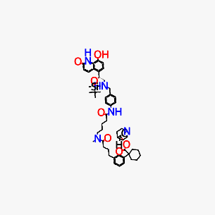 CN(CCCCC(=O)Nc1ccc(CNC[C@H](O[Si](C)(C)C(C)(C)C)c2ccc(O)c3[nH]c(=O)ccc23)cc1)C(=O)CCCc1cccc(C2(C(=O)O[C@H]3CN4CCC3CC4)CCCCC2)c1